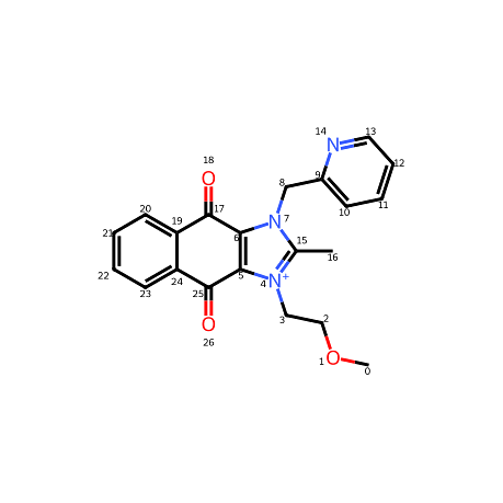 COCC[n+]1c2c(n(Cc3ccccn3)c1C)C(=O)c1ccccc1C2=O